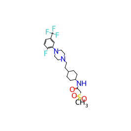 CS(=O)(=O)CC(=O)NC1CCC(CCN2CCN(c3cc(C(F)(F)F)ccc3F)CC2)CC1